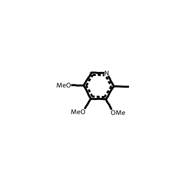 COc1[c]nc(C)c(OC)c1OC